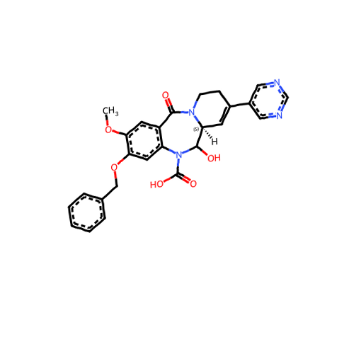 COc1cc2c(cc1OCc1ccccc1)N(C(=O)O)C(O)[C@@H]1C=C(c3cncnc3)CCN1C2=O